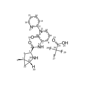 C[C@@]12C[C@@H](C(=O)Nc3cccn(-c4ccccn4)c3=O)N[C@@H]1C2.O=C(O)C(F)(F)F